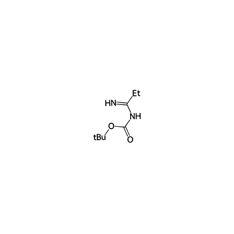 CCC(=N)NC(=O)OC(C)(C)C